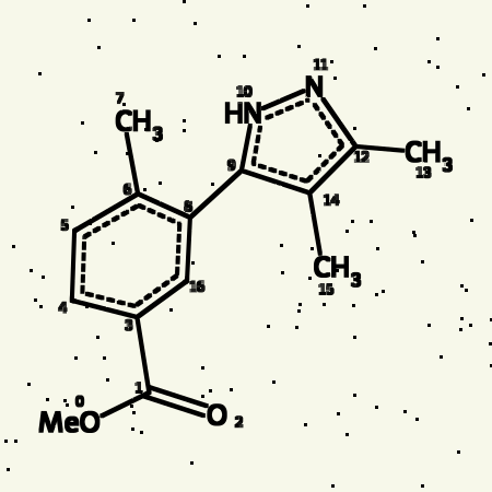 COC(=O)c1ccc(C)c(-c2[nH]nc(C)c2C)c1